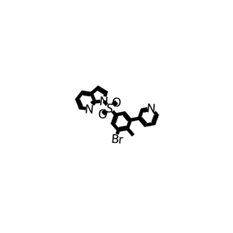 Cc1c(Br)cc(S(=O)(=O)n2ccc3cccnc32)cc1-c1cccnc1